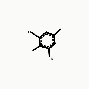 Cc1[c]c(C#N)c(C)c(Cl)c1